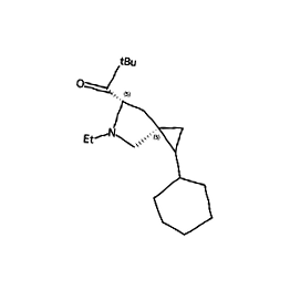 CCN1C[C@@]2(CC2C2CCCCC2)C[C@H]1C(=O)C(C)(C)C